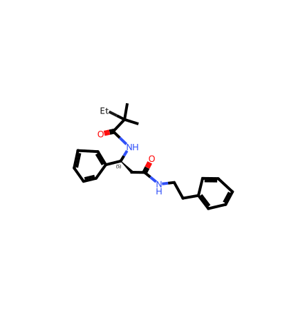 CCC(C)(C)C(=O)N[C@@H](CC(=O)NCCc1ccccc1)c1ccccc1